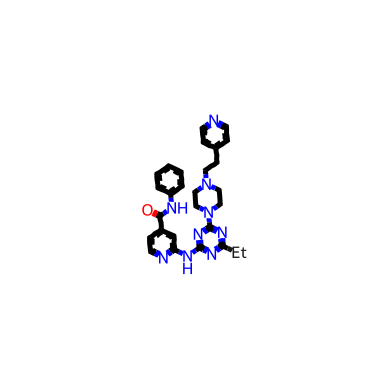 CCc1nc(Nc2cc(C(=O)Nc3ccccc3)ccn2)nc(N2CCN(CCc3ccncc3)CC2)n1